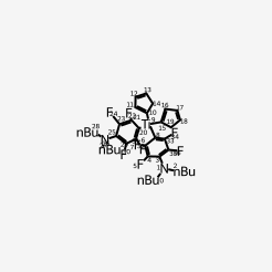 CCCCN(CCCC)c1c(F)c(F)[c]([Ti]([C]2=CC=CC2)([C]2=CC=CC2)[c]2c(F)c(F)c(N(CCCC)CCCC)c(F)c2F)c(F)c1F